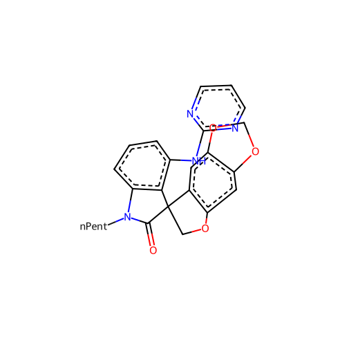 CCCCCN1C(=O)C2(COc3cc4c(cc32)OCO4)c2c(Nc3ncccn3)cccc21